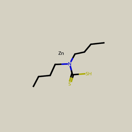 CCCCN(CCCC)C(=S)S.[Zn]